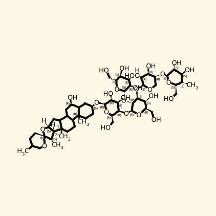 CC1CC[C@@]2(OC1)O[C@H]1CC3C4C[C@@H](O)C5C[C@@H](O[C@@H]6O[C@H](CO)[C@H](O[C@@H]7O[C@H](CO)[C@@H](O)[C@H](O[C@@H]8OC[C@@H](O[C@@H]9O[C@H](CO)[C@@H](C)[C@H](O)[C@H]9O)[C@H](O)[C@H]8O)[C@H]7O[C@@H]7O[C@H](CO)[C@@H](O)[C@H](O)[C@H]7O)[C@H](O)[C@H]6O)CC[C@]5(C)C4CC[C@]3(C)[C@H]1[C@@H]2C